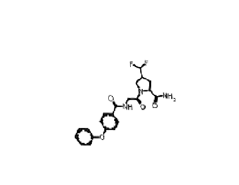 NC(=O)C1CC(C(F)F)CN1C(=O)CNC(=O)c1ccc(Oc2ccccc2)cc1